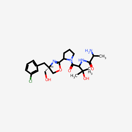 CC(N)C(=O)NC(C(=O)N1CCCC1C1=N[C@](CO)(Cc2cccc(Cl)c2)CO1)C(C)(C)O